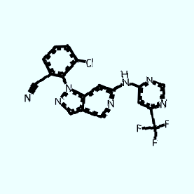 N#Cc1cccc(Cl)c1-n1ncc2cnc(Nc3cc(C(F)(F)F)ncn3)cc21